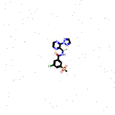 C[C@H](NC(=O)c1cc(Cl)cc(S(C)(=O)=O)c1)c1nccnc1-n1nccn1